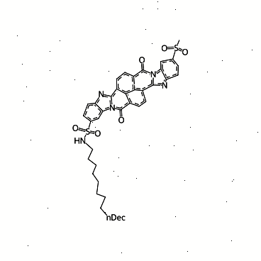 CCCCCCCCCCCCCCCCCCNS(=O)(=O)c1ccc2nc3c4ccc5c(=O)n6c7cc(S(C)(=O)=O)ccc7nc6c6ccc(c(=O)n3c2c1)c4c56